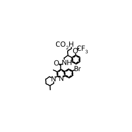 Cc1c(N2CCCC(C)C2)nc2ccc(Br)cc2c1C(=O)NCC(CCC(=O)O)c1ccccc1OC(F)(F)F